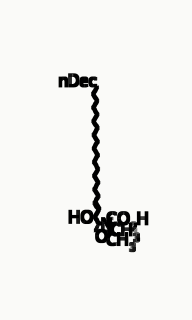 CCCCCCCCCCCCCCCCCCCCCCCCCCC/C=C/[C@@H](O)[C@@H]1COC(C)(C)N1C(=O)O